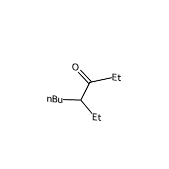 CCCCC(CC)C(=O)CC